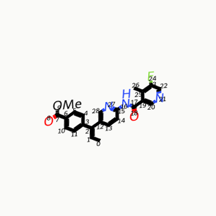 C/C=C(/c1ccc(C(=O)OC)cc1)c1ccc(NC(=O)c2cncc(F)c2C)nc1